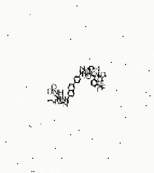 CCCN(Cc1ncc(-c2ccc3cc(-c4ccc(-c5cnc([C@@H]6CCCN6C(=O)C(NC(=O)OC)c6cccc(C(F)(F)F)c6)[nH]5)cc4)ccc3c2)[nH]1)C(=O)CNC(=O)OC